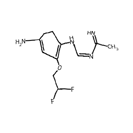 CC(=N)/N=C\NC1=C(OCC(F)F)C=C(N)CC1